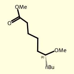 CCCC[C@H](CCCCC(=O)OC)OC